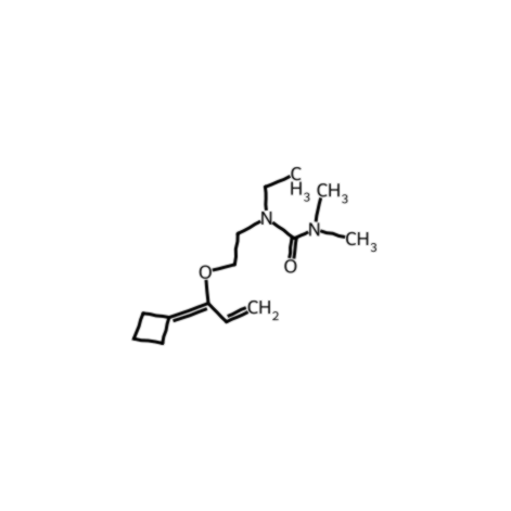 C=CC(OCCN(CC)C(=O)N(C)C)=C1CCC1